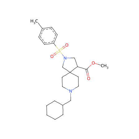 COC(=O)C1CN(S(=O)(=O)c2ccc(C)cc2)CC12CCN(CC1CCCCC1)CC2